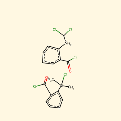 C[Si](C)(Cl)c1ccccc1C(=O)Cl.O=C(Cl)c1ccccc1[SiH2]C(Cl)Cl